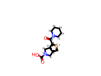 O=C(O)N1Cc2csc(C(=O)N3CCCCC3)c2C1